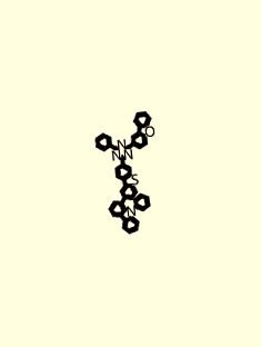 c1ccc(-c2nc(-c3ccc4c(c3)sc3ccc(-c5cccc6c7ccccc7n(-c7ccccc7)c56)cc34)nc(-c3ccc4oc5ccccc5c4c3)n2)cc1